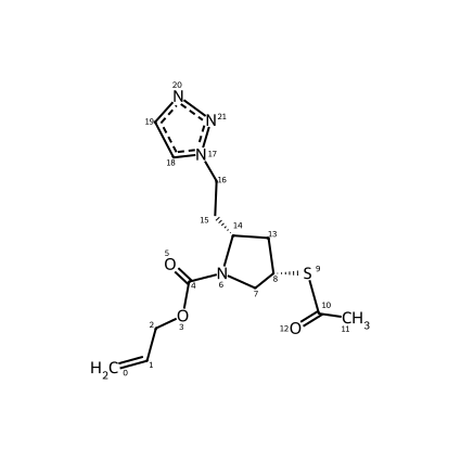 C=CCOC(=O)N1C[C@@H](SC(C)=O)C[C@H]1CCn1ccnn1